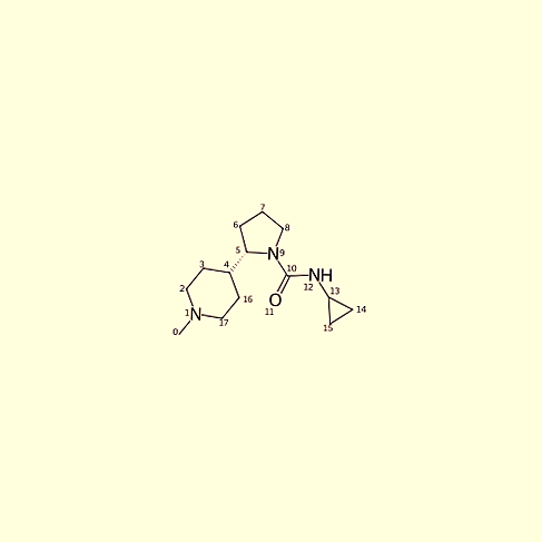 CN1CCC([C@@H]2CCCN2C(=O)NC2CC2)CC1